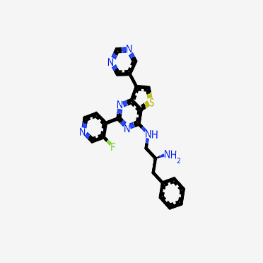 N[C@H](CNc1nc(-c2ccncc2F)nc2c(-c3cncnc3)csc12)Cc1ccccc1